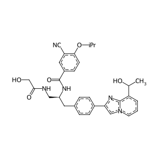 CC(C)Oc1ccc(C(=O)N[C@H](CNC(=O)CO)Cc2ccc(-c3cn4cccc(C(C)O)c4n3)cc2)cc1C#N